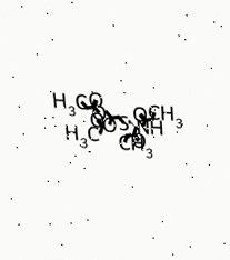 CCC(=O)N[C@@H](CSCC(COC(=O)CC)OC(=O)CC)C(=O)CC